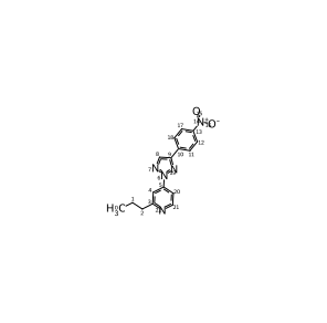 CCCc1cc(-n2ncc(-c3ccc([N+](=O)[O-])cc3)n2)ccn1